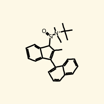 CC1=C(c2cccc3ccccc23)c2ccccc2C1[Si](=O)[N+](C)(C)C(C)(C)C